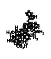 C[C@@H](N)C(=O)N1CSC[C@H]1C(=O)N[C@@H](Cc1c[nH]c2ccccc12)C(=O)N[C@@H](Cc1c[nH]c2cccc(Cl)c12)C(=O)NCC(=O)N[C@H](C)C(=O)N[C@H](C(=O)N(C)CC(=O)O)[C@@H](C)O